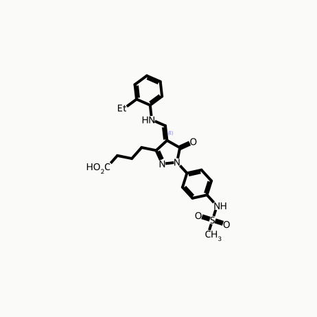 CCc1ccccc1N/C=C1/C(=O)N(c2ccc(NS(C)(=O)=O)cc2)N=C1CCCC(=O)O